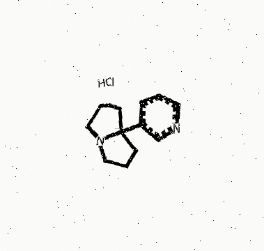 Cl.c1cncc(C23CCCN2CCC3)c1